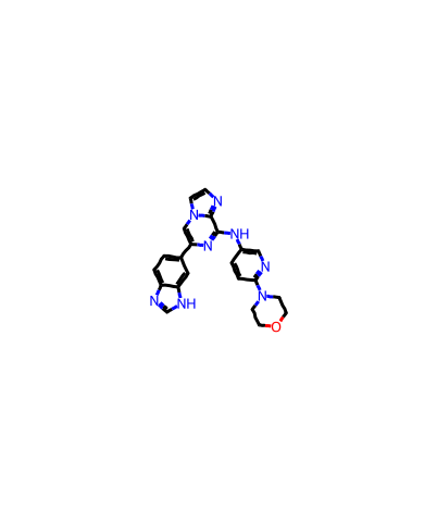 c1cn2cc(-c3ccc4nc[nH]c4c3)nc(Nc3ccc(N4CCOCC4)nc3)c2n1